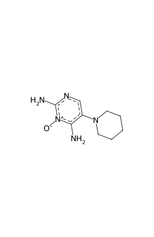 Nc1ncc(N2CCCCC2)c(N)[n+]1[O-]